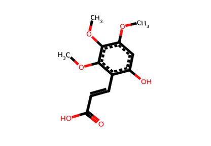 COc1cc(O)c(C=CC(=O)O)c(OC)c1OC